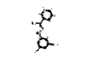 CC/C(=N\Nc1cc(F)cc(F)c1)c1cccnc1